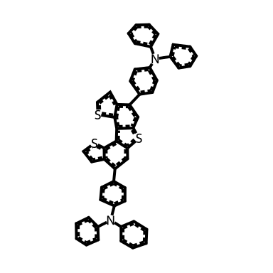 c1ccc(N(c2ccccc2)c2ccc(-c3cc4sc5cc(-c6ccc(N(c7ccccc7)c7ccccc7)cc6)c6ccsc6c5c4c4sccc34)cc2)cc1